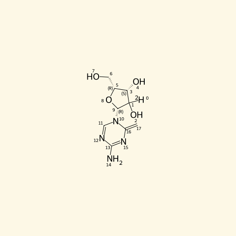 [2H]C1(O)[C@@H](O)[C@@H](CO)O[C@H]1N1C=NC(N)=NC1=C